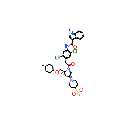 Cn1cc(C(=O)Nc2cc(Cl)c(CC(=O)N3C[C@@H](N4CCC(S(C)(=O)=O)CC4)C[C@H]3CO[C@H]3CC[C@H](C)CC3)cc2Cl)c2ccccc21